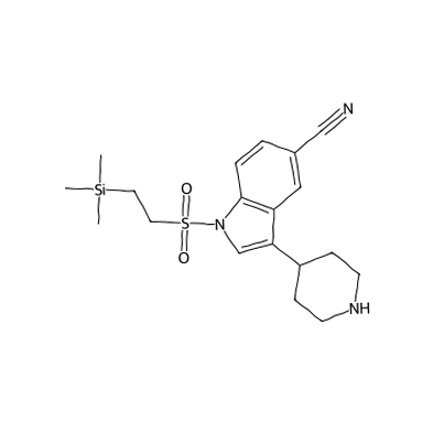 C[Si](C)(C)CCS(=O)(=O)n1cc(C2CCNCC2)c2cc(C#N)ccc21